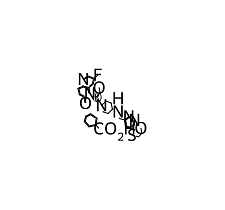 O=C(O)c1ccccc1.O=c1ccc2ncc(F)c3c2n1[C@H](CN1CCC(NCc2cc4c(nn2)OCCS4)CC1)CO3